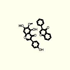 COc1c(O)cc2occ(-c3ccc(O)cc3)c(=O)c2c1O.O=c1c(-c2ccccc2)coc2ccccc12